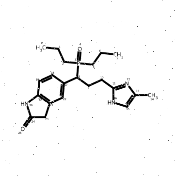 CCCP(=O)(CCC)C(CCc1nc(C)c[nH]1)c1ccc2c(c1)CC(=O)N2